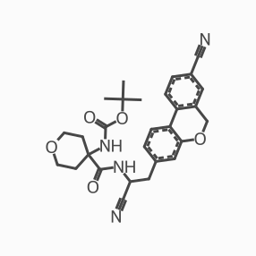 CC(C)(C)OC(=O)NC1(C(=O)NC(C#N)Cc2ccc3c(c2)OCc2cc(C#N)ccc2-3)CCOCC1